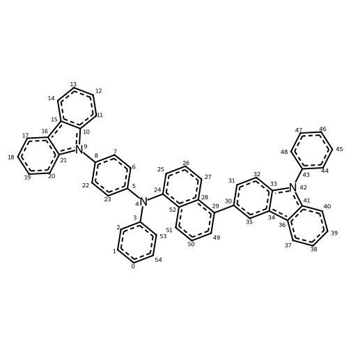 c1ccc(N(c2ccc(-n3c4ccccc4c4ccccc43)cc2)c2cccc3c(-c4ccc5c(c4)c4ccccc4n5-c4ccccc4)cccc23)cc1